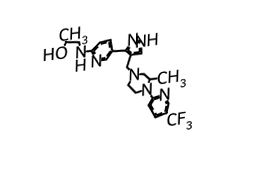 CC(O)CNc1ccc(-c2n[nH]cc2CN2CCN(c3ccc(C(F)(F)F)cn3)C(C)C2)cn1